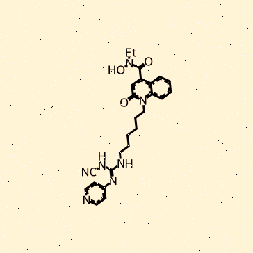 CCN(O)C(=O)c1cc(=O)n(CCCCCCNC(=Nc2ccncc2)NC#N)c2ccccc12